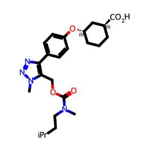 CC(C)CCN(C)C(=O)OCc1c(-c2ccc(O[C@H]3CCC[C@H](C(=O)O)C3)cc2)nnn1C